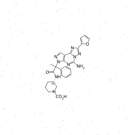 CC(C(=O)N[C@H]1CCCN(C(=O)O)C1)(c1ccccc1)n1ncc2c1nc(N)n1nc(-c3ccco3)nc21